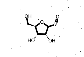 [O]=[V][CH]1O[C@H](CO)[C@@H](O)[C@H]1O